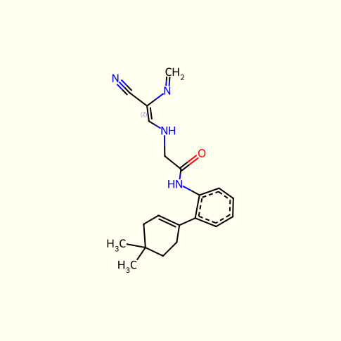 C=N/C(C#N)=C\NCC(=O)Nc1ccccc1C1=CCC(C)(C)CC1